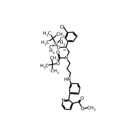 COC(=O)c1cccnc1-c1cccc(NCCCN(C[C@@H](O[Si](C)(C)C(C)(C)C)c2cccc(Cl)c2)C(=O)OC(C)(C)C)c1